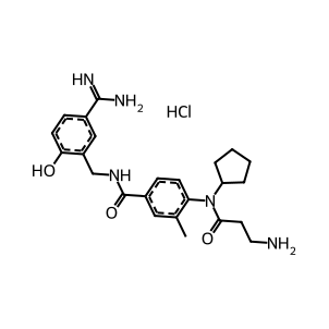 Cc1cc(C(=O)NCc2cc(C(=N)N)ccc2O)ccc1N(C(=O)CCN)C1CCCC1.Cl